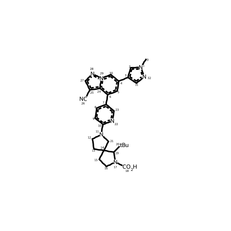 Cn1cc(-c2cc(-c3ccc(N4CCC5(CCN(C(=O)O)C5C(C)(C)C)C4)nc3)c3c(C#N)cnn3c2)cn1